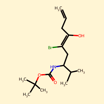 C=CCC(O)=C(Br)CC(NC(=O)OC(C)(C)C)C(C)C